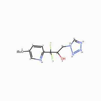 CC(C)COc1ccc(C(F)(F)C(O)Cn2cnnn2)nc1